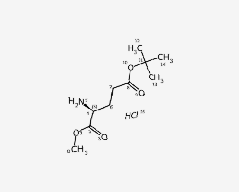 COC(=O)[C@@H](N)CCC(=O)OC(C)(C)C.Cl